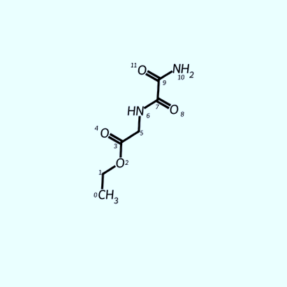 CCOC(=O)CNC(=O)C(N)=O